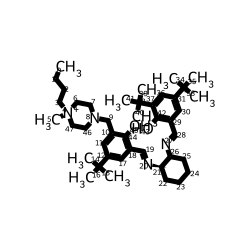 CCCC[N+]1(C)CCN(Cc2cc(C(C)(C)C)cc(/C=N/[C@@H]3CCCCC3/N=C/c3cc(C(C)(C)C)cc(C(C)(C)C)c3O)c2O)CC1